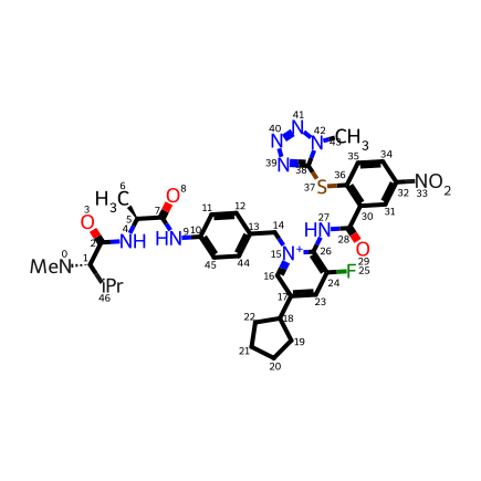 CN[C@H](C(=O)N[C@@H](C)C(=O)Nc1ccc(C[n+]2cc(C3CCCC3)cc(F)c2NC(=O)c2cc([N+](=O)[O-])ccc2Sc2nnnn2C)cc1)C(C)C